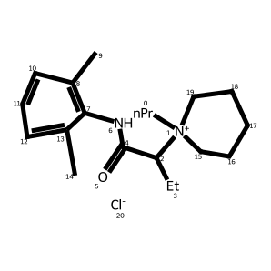 CCC[N+]1(C(CC)C(=O)Nc2c(C)cccc2C)CCCCC1.[Cl-]